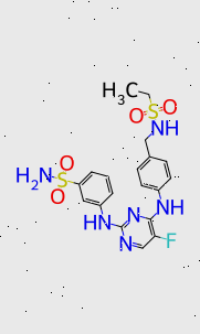 CCS(=O)(=O)NCc1ccc(Nc2nc(Nc3cccc(S(N)(=O)=O)c3)ncc2F)cc1